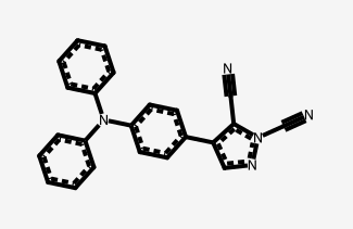 N#Cc1c(-c2ccc(N(c3ccccc3)c3ccccc3)cc2)cnn1C#N